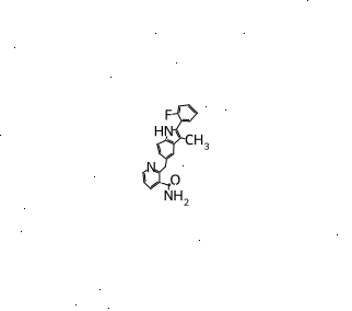 Cc1c(-c2ccccc2F)[nH]c2ccc(Cc3ncccc3C(N)=O)cc12